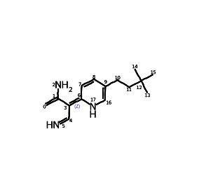 C=C(N)/C(C=N)=C1\C=CC(CCC(C)(C)C)=CN1